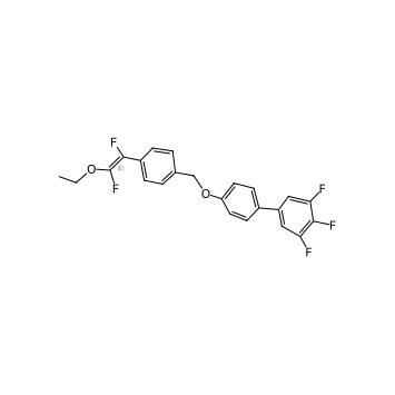 CCO/C(F)=C(\F)c1ccc(COc2ccc(-c3cc(F)c(F)c(F)c3)cc2)cc1